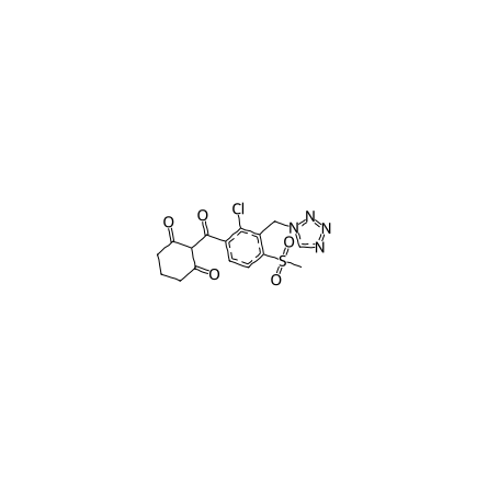 CS(=O)(=O)c1ccc(C(=O)C2C(=O)CCCC2=O)c(Cl)c1Cn1cnnn1